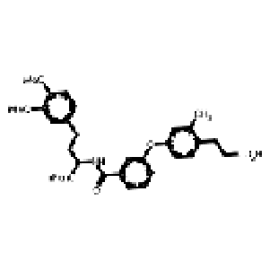 CCCCCC(CCc1ccc(OC)c(OC)c1)NC(=O)c1cccc(Oc2ccc(CCC(=O)O)c(C)c2)c1